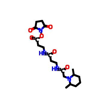 CC1CCCC(C)N1C[13C](=O)NCC[13C](=O)NCC[13C](=O)ON1C(=O)CCC1=O